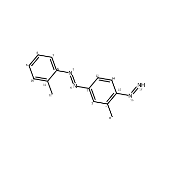 Cc1cc(N=Nc2ccccc2C)ccc1N=N